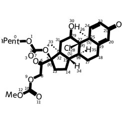 CCCCCOC(=O)O[C@]1(C(=O)COC(=O)OC)CC[C@H]2[C@@H]3CCC4=CC(=O)C=C[C@]4(C)[C@@]3(Cl)C(O)C[C@@]21C